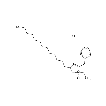 CCCCCCCCCCCCCC1C[N+](O)(CC)C(Cc2ccccc2)=N1.[Cl-]